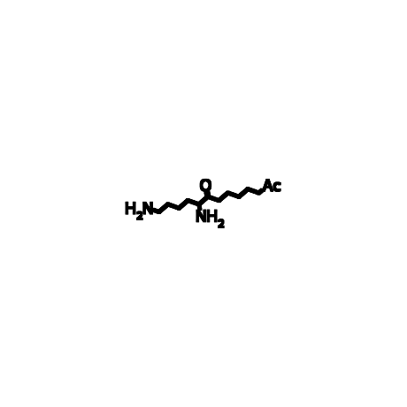 CC(=O)CCCCCC(=O)C(N)CCCCN